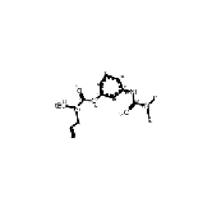 C=CCN(C(=O)Oc1cccc(NC(=O)N(C)C)c1)C(C)(C)C